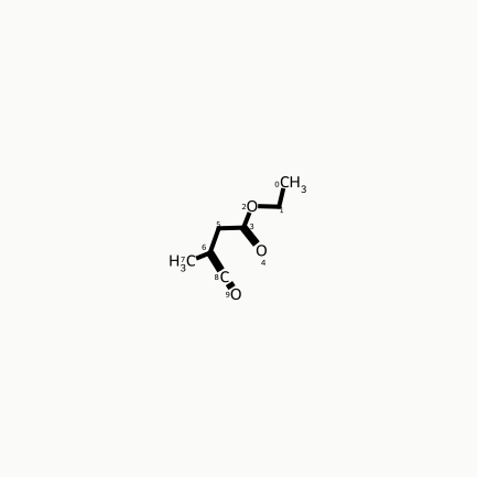 CCOC(=O)CC(C)=C=O